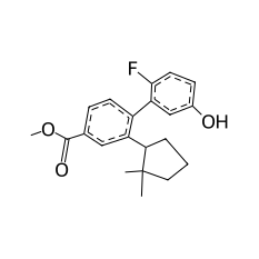 COC(=O)c1ccc(-c2cc(O)ccc2F)c(C2CCCC2(C)C)c1